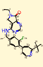 CCN1Cc2c(N[C@@H](C)c3ccc(-c4ccnc(C(C)(C)C)c4)c(F)c3)ncnc2C1=O